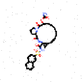 NC(=O)OC1CCCCCC=CC2CC2(C(=O)NS(=O)(=O)c2ccc3ccccc3c2)NC(=O)C2CCCN2C1=O